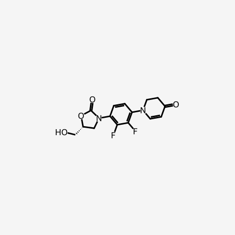 O=C1C=CN(c2ccc(N3C[C@H](CO)OC3=O)c(F)c2F)CC1